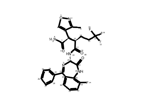 Cc1nocc1[C@H](C(N)=O)[C@@H](CCC(F)(F)F)C(=O)N[C@H]1N=C(c2ccccc2)c2cccc(F)c2NC1=O